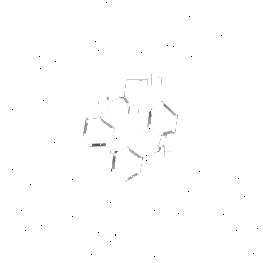 CC(C)CC(=O)Oc1ccccc1.c1ccc(Pc2ccccc2)cc1